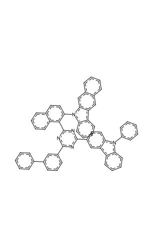 c1ccc(-c2cccc(-c3nc(-c4ccc5c(c4)c4ccccc4n5-c4ccccc4)nc(-c4c(-n5c6ccccc6c6cc7ccccc7cc65)ccc5ccccc45)n3)c2)cc1